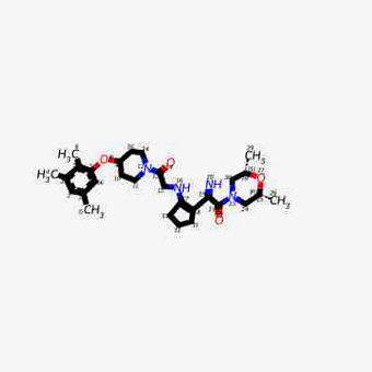 Cc1cc(C)c(C)c(OC2CCN(C(=O)CNC3=C(C(=N)C(=O)N4C[C@@H](C)O[C@@H](C)C4)CCC3)CC2)c1